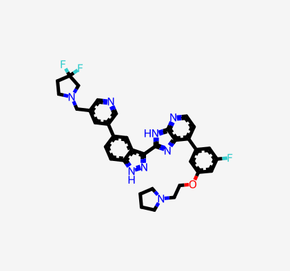 Fc1cc(OCCN2CCCC2)cc(-c2ccnc3[nH]c(-c4n[nH]c5ccc(-c6cncc(CN7CCC(F)(F)C7)c6)cc45)nc23)c1